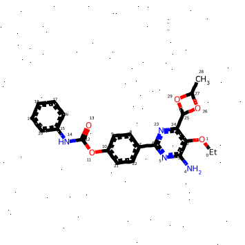 CCOc1c(N)nc(-c2ccc(OC(=O)Nc3ccccc3)cc2)nc1C1OC(C)O1